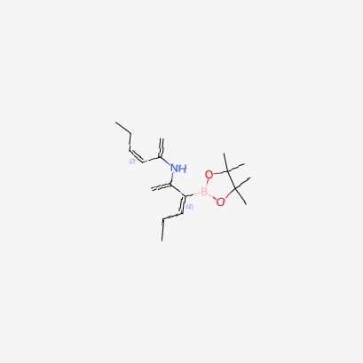 C=C(/C=C\CC)NC(=C)/C(=C\CC)B1OC(C)(C)C(C)(C)O1